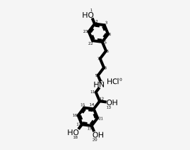 Cl.Oc1ccc(CCCCNCC(O)c2ccc(O)c(O)c2)cc1